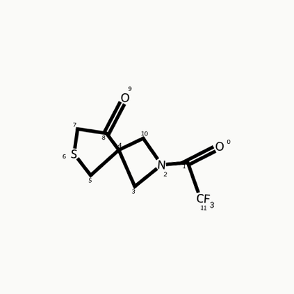 O=C(N1CC2(CSCC2=O)C1)C(F)(F)F